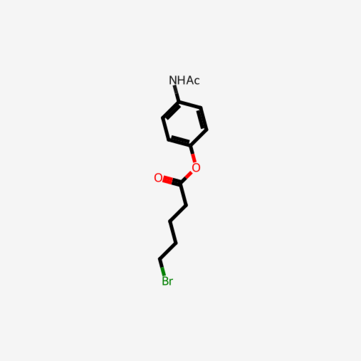 CC(=O)Nc1ccc(OC(=O)CCCCBr)cc1